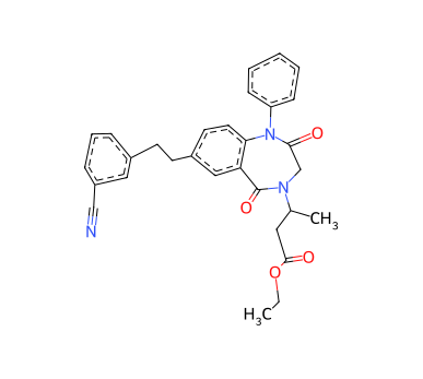 CCOC(=O)CC(C)N1CC(=O)N(c2ccccc2)c2ccc(CCc3cccc(C#N)c3)cc2C1=O